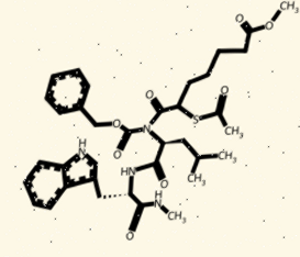 CNC(=O)[C@H](Cc1c[nH]c2ccccc12)NC(=O)[C@H](CC(C)C)N(C(=O)OCc1ccccc1)C(=O)C(CCCCC(=O)OC)SC(C)=O